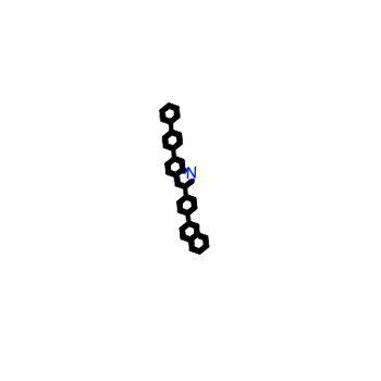 c1ccc(-c2ccc(-c3ccc4cc(-c5ccc(-c6ccc7ccccc7c6)cc5)cnc4c3)cc2)cc1